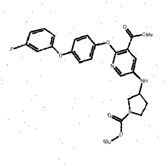 COC(=O)c1cc(NC2CCN(C(=O)OC(C)(C)C)C2)cnc1Oc1ccc(Oc2cccc(F)c2)cc1